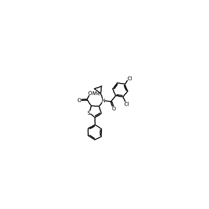 COC(=O)C1SC(c2ccccc2)=CC1N(C(=O)c1ccc(Cl)cc1Cl)C1CC1